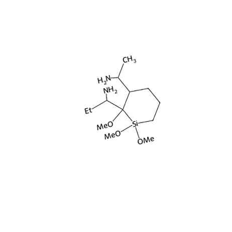 CCC(N)C1(OC)C(C(C)N)CCC[Si]1(OC)OC